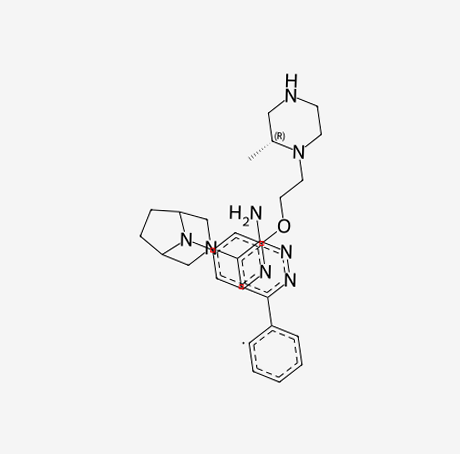 C[C@@H]1CNCCN1CCOc1cc(N2C3CCC2CN(c2cc(-c4[c]cccc4)nnc2N)C3)ccn1